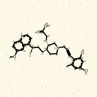 COc1ccc2nccc([C@H](F)CC[C@@H]3CCN(CC#Cc4c(C)cc(Cl)cc4Cl)C[C@H]3CCC(=O)O)c2c1